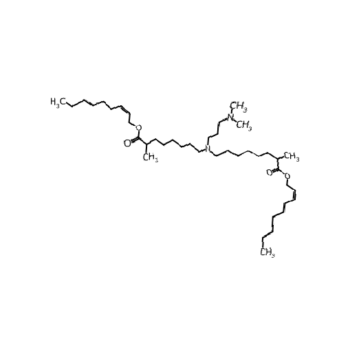 CCCCCC/C=C\COC(=O)C(C)CCCCCCN(CCCCCCC(C)C(=O)OC/C=C\CCCCCC)CCCN(C)C